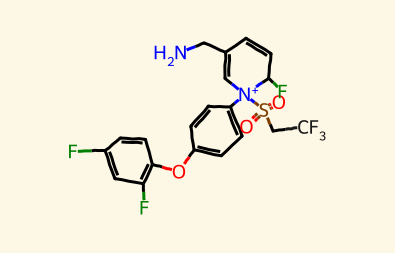 NCC1=C[N+](c2ccc(Oc3ccc(F)cc3F)cc2)(S(=O)(=O)CC(F)(F)F)C(F)C=C1